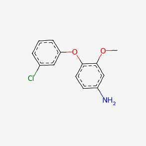 COc1cc(N)ccc1Oc1cccc(Cl)c1